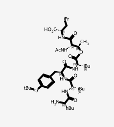 CCCC[C@H](N)C(=O)N[C@H](C(=O)N[C@@H](Cc1ccc(OC(C)(C)C)cc1)C(=O)N[C@H](C(=O)O[C@H](C)[C@H](NC(C)=O)C(=O)N[C@@H](CC(C)C)C(=O)O)[C@@H](C)CC)[C@@H](C)CC